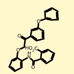 O=C(COc1ccccc1NC(=O)c1ccccc1C(=O)O)c1cccc(Oc2ccccc2)c1